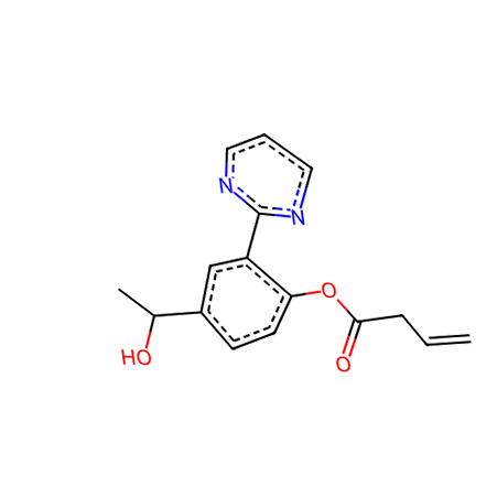 C=CCC(=O)Oc1ccc(C(C)O)cc1-c1ncccn1